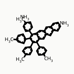 Cc1ccc(-c2c(-c3ccc(C)cc3)c(-c3ccc(C)cc3)c3cc4cc5ccccc5cc4cc3c2-c2ccc(C)cc2)cc1.N.N